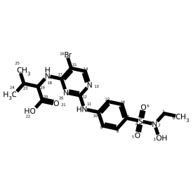 CCN(O)S(=O)(=O)c1ccc(Nc2ncc(Br)c(NC(C(=O)O)C(C)C)n2)cc1